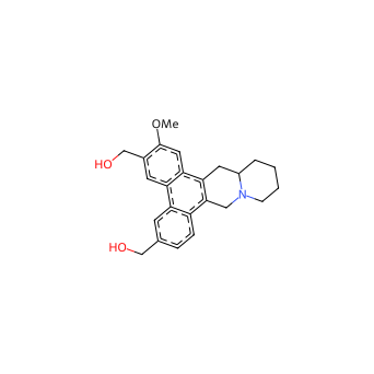 COc1cc2c3c(c4ccc(CO)cc4c2cc1CO)CN1CCCCC1C3